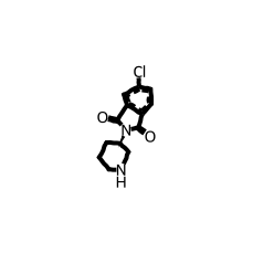 O=C1c2ccc(Cl)cc2C(=O)N1[C@@H]1CCCNC1